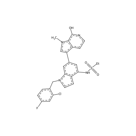 CCS(=O)(=O)Nc1cc(-c2cn(C)c3c(O)nccc23)cc2c1ccn2Cc1ccc(F)cc1Cl